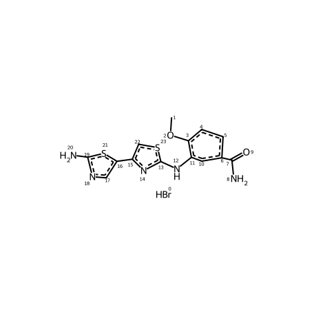 Br.COc1ccc(C(N)=O)cc1Nc1nc(-c2cnc(N)s2)cs1